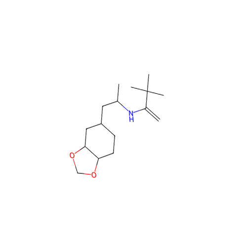 C=C(NC(C)CC1CCC2OCOC2C1)C(C)(C)C